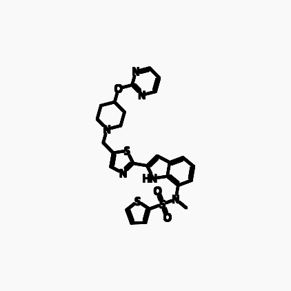 CN(c1cccc2cc(-c3ncc(CN4CCC(Oc5ncccn5)CC4)s3)[nH]c12)S(=O)(=O)c1cccs1